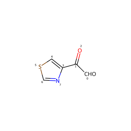 O=CC(=O)c1cscn1